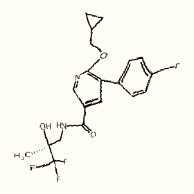 C[C@](O)(CNC(=O)c1cnc(OCC2CC2)c(-c2ccc(F)cc2)c1)C(F)(F)F